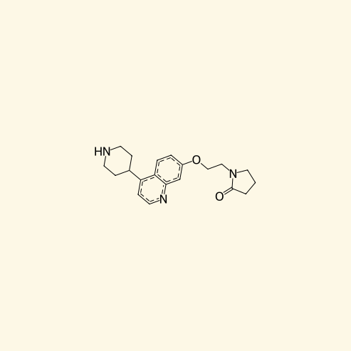 O=C1CCCN1CCOc1ccc2c(C3CCNCC3)ccnc2c1